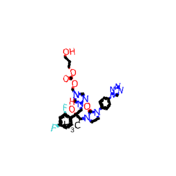 C[C@@H](N1CCN(c2ccc(-n3cnnn3)cc2)C1=O)[C@@](O)(CN1CN(COC(=O)OCCCO)C=N1)c1ccc(F)cc1F